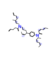 C=C/C=C\C(C)=C/CN(/C=C/CC(/C=C\C)c1ccc(N(C(=C)/C=C\C=C\C)C(C)/C=C\C=C/C)cc1)C(=C)CCC=C